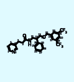 O=C(CCc1cccnc1)NCC(COCc1cc(C(F)(F)F)cc(C(F)(F)F)c1)c1ccccc1